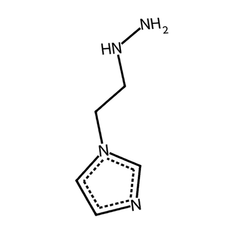 NNCCn1ccnc1